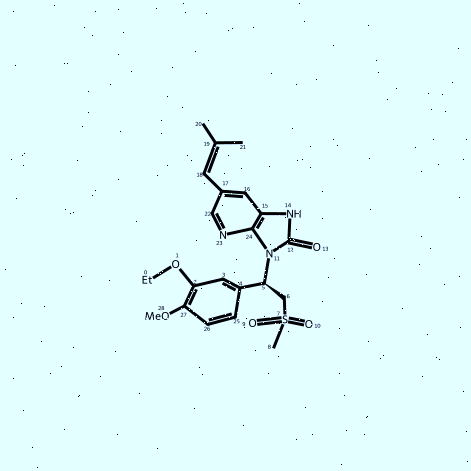 CCOc1cc([C@H](CS(C)(=O)=O)n2c(=O)[nH]c3cc(C=C(C)C)cnc32)ccc1OC